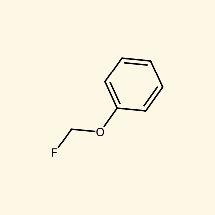 FCOc1ccccc1